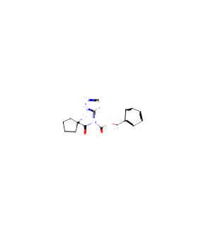 NC1(C(=O)N(C(=O)OCc2ccccc2)c2nncs2)CCCC1